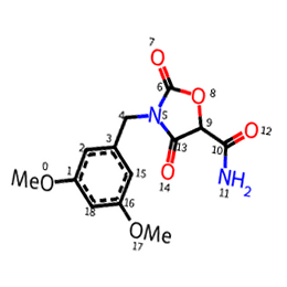 COc1cc(CN2C(=O)OC(C(N)=O)C2=O)cc(OC)c1